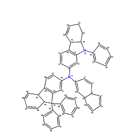 C1=CC2C=CC(N(c3ccc4c(c3)N(c3ccccc3)C3CCC=CC43)c3ccc4c(c3)C(c3ccccc3)(c3ccccc3)C3C=CC=CC43)=CC2C=C1